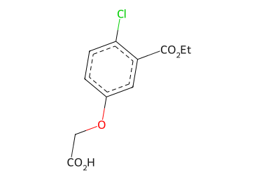 CCOC(=O)c1cc(OCC(=O)O)ccc1Cl